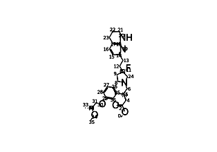 COC(=O)C[C@H](CN1CC[C@@](F)(CCc2ccc3c(n2)NCCC3)C1)c1cccc(OC[C@@H](C)OC)c1